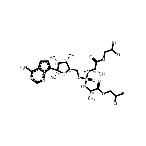 CCC(CC)COC(=O)[C@H](C)NP(=O)(N[C@@H](C)C(=O)OCC(CC)CC)OC[C@H]1O[C@@](C#N)(c2ccc3c(N)ncnn23)[C@H](O)[C@@H]1O